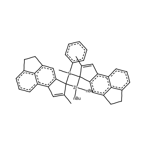 CCC[CH2][Zr]1([CH2]CCC)[C]2(C(C)=Cc3c2cc2c4c(cccc34)CC2)[Si](C)(c2ccccc2)[C]12C(C)=Cc1c2cc2c3c(cccc13)CC2